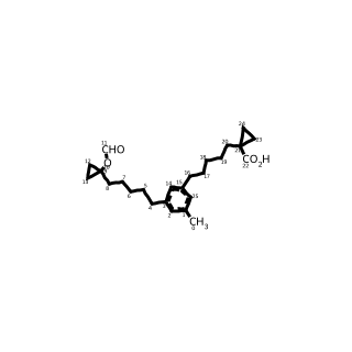 Cc1cc(CCCCCC2(OC=O)CC2)cc(CCCCCC2(C(=O)O)CC2)c1